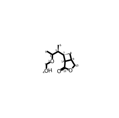 CC(OCO)[C@@H](C)[C@@H]1CC2COC(=O)C21